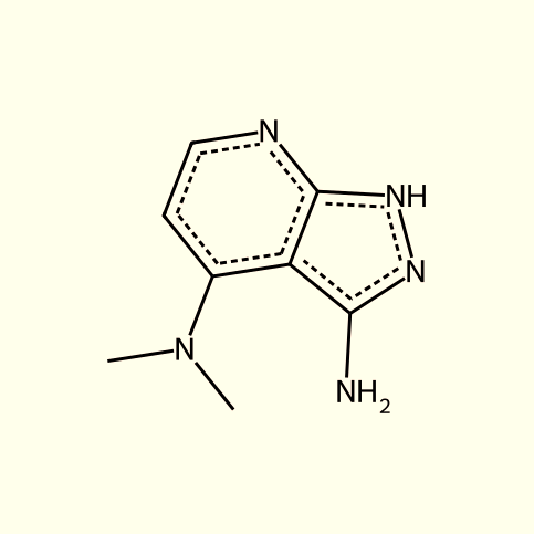 CN(C)c1ccnc2[nH]nc(N)c12